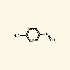 C=Nc1ccc(C)nc1